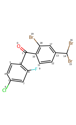 O=C(c1ccc(Cl)cc1F)c1ccc(C(Br)Br)cc1Br